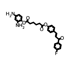 Nc1ccc(OC(=O)CCCCC(=O)Oc2ccc(C=CC(=O)c3ccc(F)cc3)cc2)c(N)c1